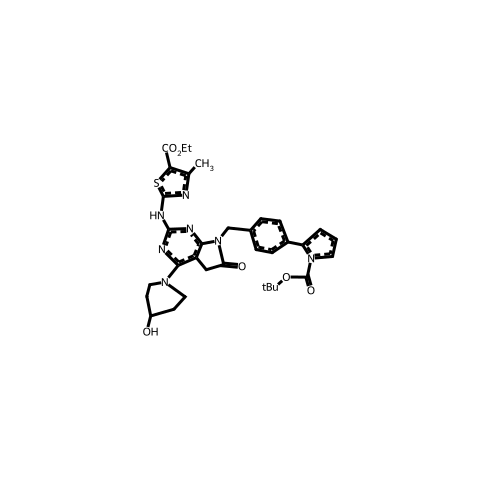 CCOC(=O)c1sc(Nc2nc(N3CCC(O)CC3)c3c(n2)N(Cc2ccc(-c4cccn4C(=O)OC(C)(C)C)cc2)C(=O)C3)nc1C